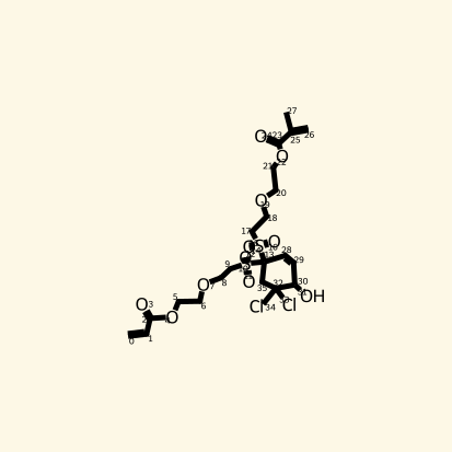 C=CC(=O)OCCOCCS(=O)(=O)C1(S(=O)(=O)CCOCCOC(=O)C(=C)C)C=CC(O)C(Cl)(Cl)C1